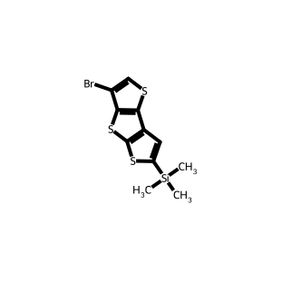 C[Si](C)(C)c1cc2c(s1)sc1c(Br)csc12